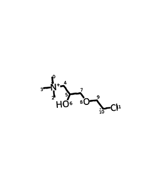 C[N+](C)(C)CC(O)COC[CH]Cl